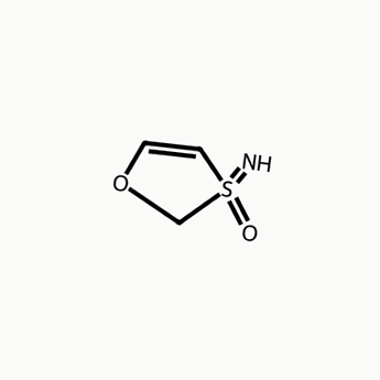 N=S1(=O)C=COC1